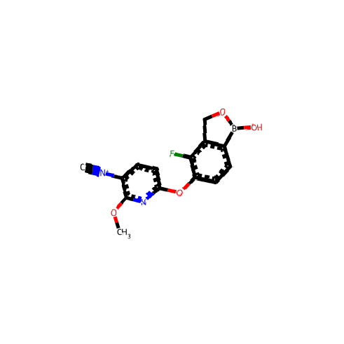 [C-]#[N+]c1ccc(Oc2ccc3c(c2F)COB3O)nc1OC